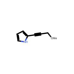 COCC#Cc1ccc[nH]1